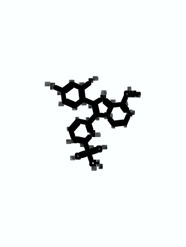 COc1nccn2c(-c3ccnc(S(C)(=O)=O)n3)c(-c3ccc(F)cc3F)nc12